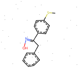 CSc1ccc(/C(Cc2ccccc2)=N/O)cc1